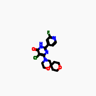 O=c1[nH]c(-c2ccnc(F)c2)nc(N2CCOC3(CCOCC3)C2)c1Cl